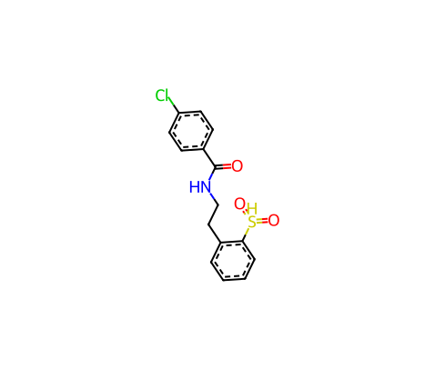 O=C(NCCc1ccccc1[SH](=O)=O)c1ccc(Cl)cc1